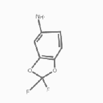 [NH]c1ccc2c(c1)OC(F)(F)O2